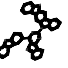 c1ccc2c(c1)oc1c(-c3ccc4sc5ccccc5c4c3)nc(-n3c4ccccc4c4cc5sc6ccccc6c5cc43)nc12